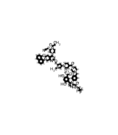 C=CC(=O)N1CCN(c2nc(OC[C@@H]3C[C@H](N4CCC(C(=O)N5CCN(Cc6ccc(-n7c(C(=O)NCC(F)(F)F)nnc7-c7cc(C(C)C)c(O)cc7O)cc6)CC5)CC4)CN3C)nc3c2CCN(c2cccc4cccc(Cl)c24)C3)C[C@@H]1CC#N